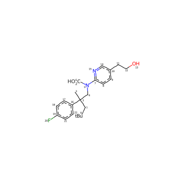 CC(C)(C)CC(C)(CN(C(=O)O)c1ccc(CCO)cn1)c1ccc(F)cc1